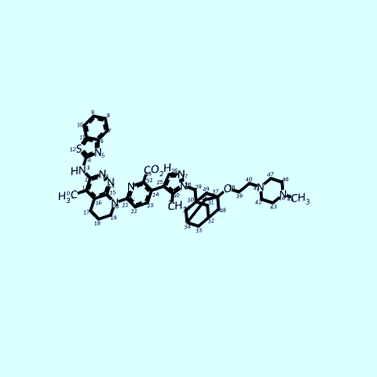 Cc1c(Nc2nc3ccccc3s2)nnc2c1CCCN2c1ccc(-c2cnn(CC34CC5CC(C3)CC(OCCN3CCN(C)CC3)(C5)C4)c2C)c(C(=O)O)n1